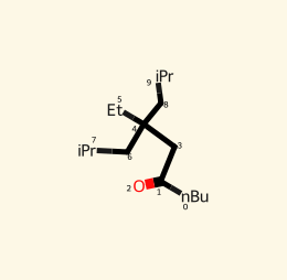 CCCCC(=O)CC(CC)(CC(C)C)CC(C)C